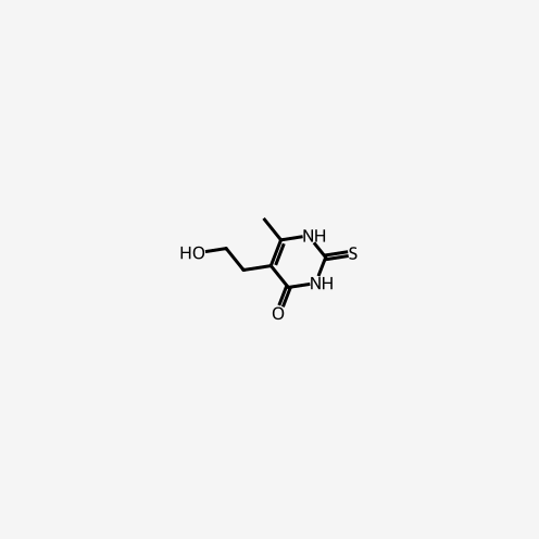 Cc1[nH]c(=S)[nH]c(=O)c1CCO